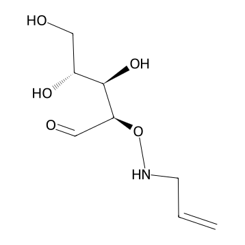 C=CCNO[C@@H](C=O)[C@H](O)[C@H](O)CO